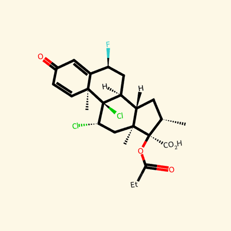 CCC(=O)O[C@]1(C(=O)O)[C@@H](C)C[C@H]2[C@@H]3C[C@H](F)C4=CC(=O)C=C[C@]4(C)[C@@]3(Cl)[C@@H](Cl)C[C@@]21C